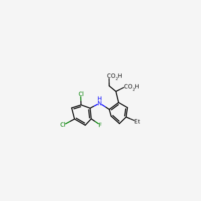 CCc1ccc(Nc2c(F)cc(Cl)cc2Cl)c(C(CC(=O)O)C(=O)O)c1